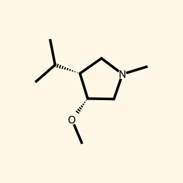 CO[C@H]1CN(C)C[C@H]1C(C)C